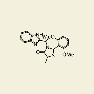 COc1cccc(OC)c1C1SC(C)C(=O)N1C(C)c1nc2ccccc2[nH]1